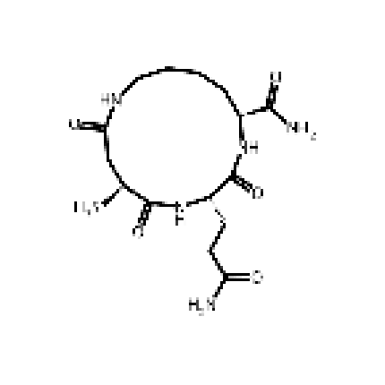 NC(=O)CC[C@@H]1NC(=O)[C@@H]([SiH3])CC(=O)NCCCC[C@@H](C(N)=O)NC1=O